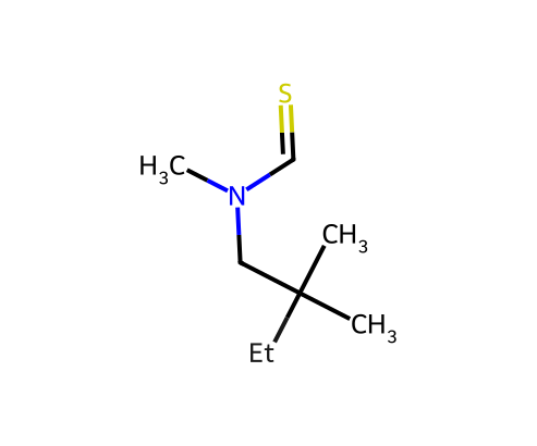 CCC(C)(C)CN(C)C=S